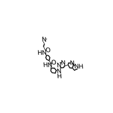 CN(C)C/C=C/C(=O)Nc1ccc(C(=O)Nc2cccc(Nc3cc(-c4cnc5[nH]ccc5c4)ncn3)c2)cc1